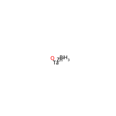 [BiH3].[O]=[Ta].[Zn]